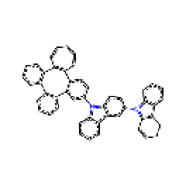 C1=CC=CC2=C(C=1)c1ccc(-n3c4ccccc4c4cc(-n5c6c(c7ccccc75)CCC=C6)ccc43)cc1-c1ccccc1-c1ccccc12